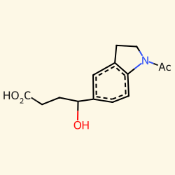 CC(=O)N1CCc2cc(C(O)CCC(=O)O)ccc21